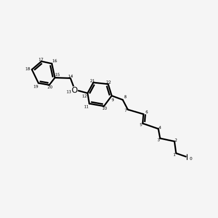 ICCCC/C=C/CCc1ccc(OCc2ccccc2)cc1